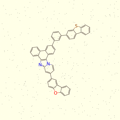 c1cc(-c2ccc3c(c2)sc2ccccc23)cc(-c2ccc3c(c2)c2ccccc2c2nc4cc(-c5ccc6oc7ccccc7c6c5)ccn4c32)c1